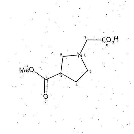 COC(=O)C1CCN(CC(=O)O)C1